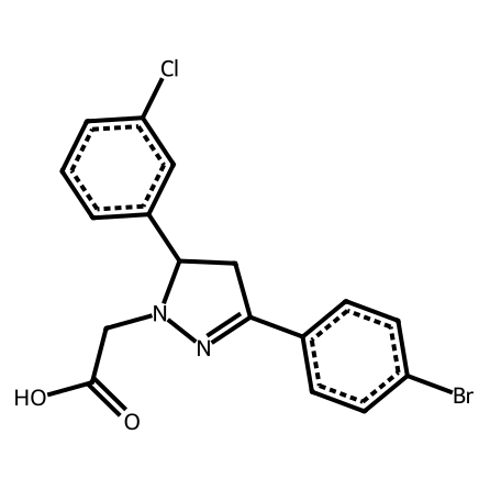 O=C(O)CN1N=C(c2ccc(Br)cc2)CC1c1cccc(Cl)c1